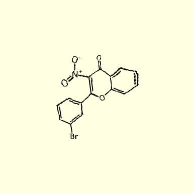 O=c1c([N+](=O)[O-])c(-c2cccc(Br)c2)oc2ccccc12